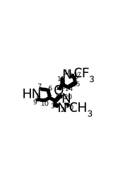 Cc1ncc(C2CCNCC2)c(Oc2ccc(C(F)(F)F)nc2)n1